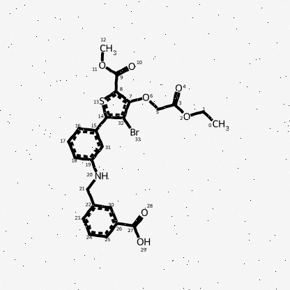 CCOC(=O)COc1c(C(=O)OC)sc(-c2cccc(NCc3cccc(C(=O)O)c3)c2)c1Br